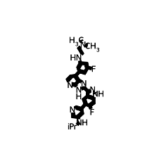 CC(C)Nc1cncc(-c2cc3c(-c4nc5c(-c6cc(F)cc(NCCN(C)C)c6)ccnc5[nH]4)n[nH]c3cc2F)c1